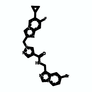 O=C(NCc1ncn2ccc(Br)cc12)c1cnn(Cc2cn3cc(C4CC4)c(F)cc3n2)c1